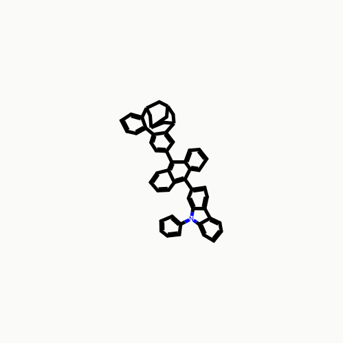 c1ccc(-n2c3ccccc3c3ccc(-c4c5ccccc5c(-c5ccc6c(c5)C5CC7CC(CC(C7)c7ccccc7-6)C5)c5ccccc45)cc32)cc1